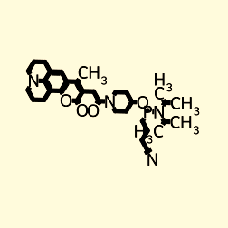 Cc1c(CC(=O)N2CCC(OP(CCCC#N)N(C(C)C)C(C)C)CC2)c(=O)oc2c3c4c(cc12)CCCN4CCC3